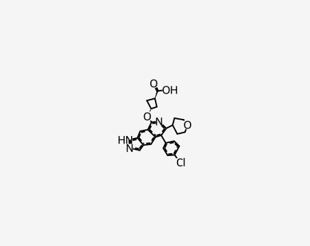 O=C(O)[C@H]1C[C@H](Oc2nc(C3CCOCC3)c(-c3ccc(Cl)cc3)c3cc4cn[nH]c4cc23)C1